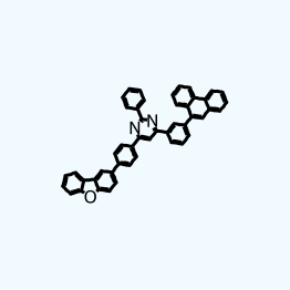 c1ccc(-c2nc(-c3ccc(-c4ccc5oc6ccccc6c5c4)cc3)cc(-c3cccc(-c4cc5ccccc5c5ccccc45)c3)n2)cc1